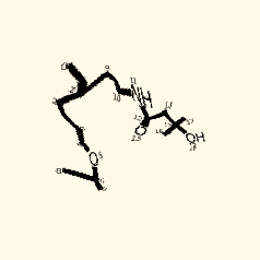 CC(CCCOC(C)C)CCNC(=O)CC(C)(C)O